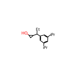 CCC(c1cc(C(C)C)cc(C(C)C)c1)C1CC1O